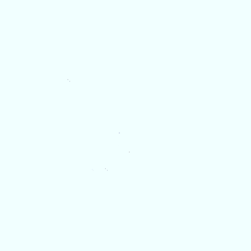 C=C(/N=C(\S)CC1(CC(C)=O)Cc2ccccc2C1)c1ccc(CCc2ccncc2)cc1CC